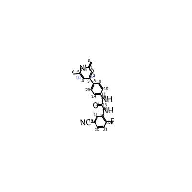 C=C/C=C(\C=C(\C)N)c1ccc(NC(=O)Nc2cc(C#N)ccc2F)cc1